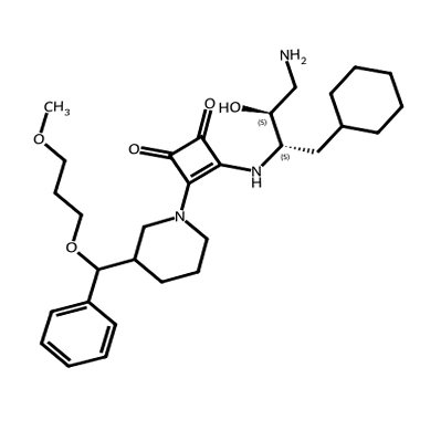 COCCCOC(c1ccccc1)C1CCCN(c2c(N[C@@H](CC3CCCCC3)[C@@H](O)CN)c(=O)c2=O)C1